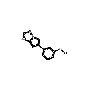 COc1cccc(-c2cc3[nH][c]nn3n2)c1